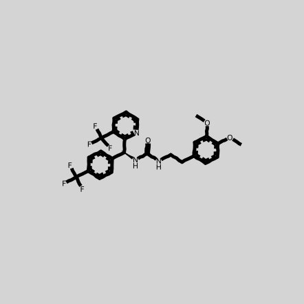 COc1ccc(CCNC(=O)N[C@@H](c2ccc(C(F)(F)F)cc2)c2ncccc2C(F)(F)F)cc1OC